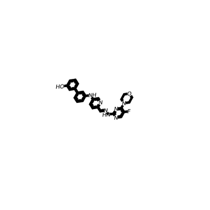 Oc1cccc(-c2cccc(Nc3ccc(/C=N/Nc4ncc(F)c(N5CCOCC5)n4)nc3)c2)c1